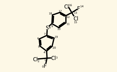 FC(Cl)(Cl)c1ccc(Sc2ccc(C(F)(Cl)Cl)cc2)cc1